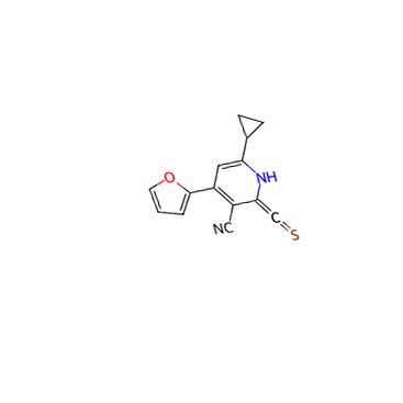 N#CC1=C(c2ccco2)C=C(C2CC2)NC1=C=S